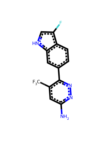 Nc1cc(C(F)(F)F)c(-c2ccc3c(F)c[nH]c3c2)nn1